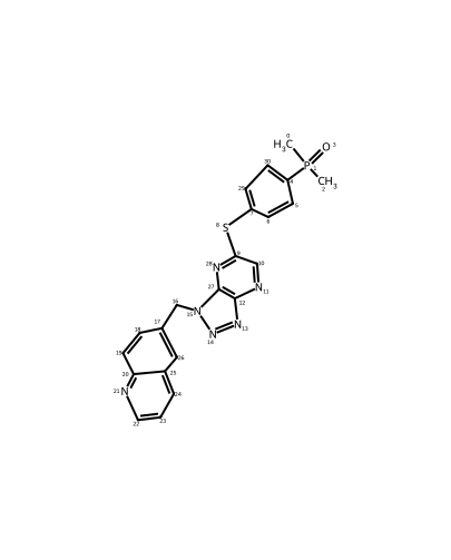 CP(C)(=O)c1ccc(Sc2cnc3nnn(Cc4ccc5ncccc5c4)c3n2)cc1